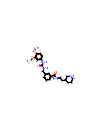 COc1ccc(NC(=O)NCc2cccc(C(=O)NCCC3CCCNC3)c2)cc1OC